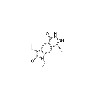 CCn1c(=O)n(CC)c2cc3c(=O)[nH][nH]c(=O)c3cc21